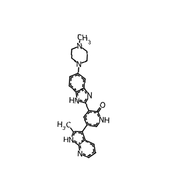 Cc1[nH]c2ncccc2c1-c1c[nH]c(=O)c(-c2nc3cc(N4CCN(C)CC4)ccc3[nH]2)c1